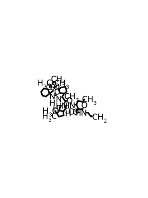 C=CCNC(=O)C(=O)C(CCC)NC(=O)[C@@H]1[C@H]2CCC(C)(C)[C@H]2CN1C(=O)[C@@H](NC(=O)NC1(CS(=O)(=O)C(C)(C)C)CCCCC1)C1(C)CCCCC1